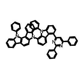 c1ccc(-c2cc(-c3cccc4c3c3cccc(-n5c6ccccc6c6c5ccc5c7ccccc7n(-c7ccccc7)c56)c3n4-c3ccccc3)nc(-c3ccccc3)n2)cc1